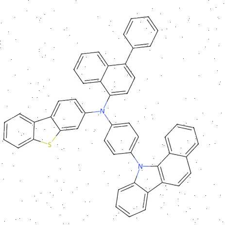 c1ccc(-c2ccc(N(c3ccc(-n4c5ccccc5c5ccc6ccccc6c54)cc3)c3ccc4c(c3)sc3ccccc34)c3ccccc23)cc1